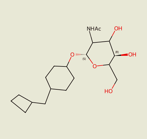 CC(=O)NC1C(O)[C@@H](O)C(CO)O[C@@H]1OC1CCC(CC2CCC2)CC1